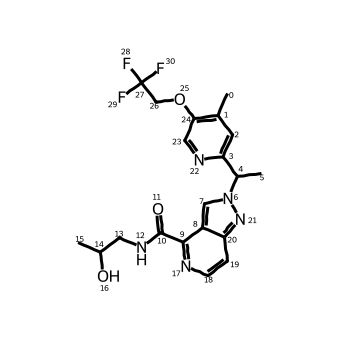 Cc1cc(C(C)n2cc3c(C(=O)NCC(C)O)nccc3n2)ncc1OCC(F)(F)F